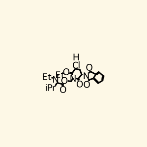 CCN(CC)C(C(=O)OCN1C(=O)CC[C@H](N2C(=O)c3ccccc3C2=O)C1=O)C(C)C.Cl